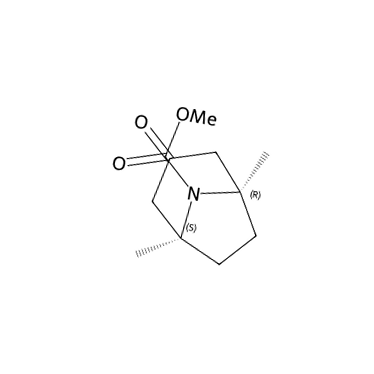 COC(=O)N1[C@@]2(C)CC[C@]1(C)CC(=O)C2